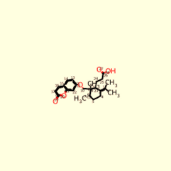 CC(C)=C1CC[C@H](C)[C@](C)(COc2ccc3ccc(=O)oc3c2)[C@H]1CCC(=O)O